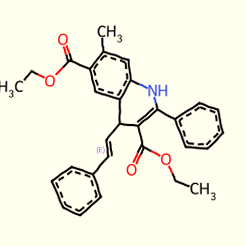 CCOC(=O)C1=C(c2ccccc2)Nc2cc(C)c(C(=O)OCC)cc2C1/C=C/c1ccccc1